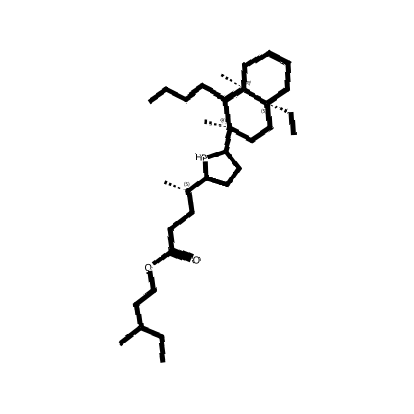 CCCCC1[C@](C)(C2CCC([C@@H](C)CCC(=O)OCCC(C)CC)P2)CC[C@]2(CC)CCCC[C@]12C